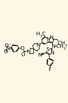 CCc1nn2c(C)cc(N3CCC4(CCN(C(=O)Oc5ccc([N+](=O)[O-])cc5)C4)CC3)cc2c1N(C)c1nc(-c2ccc(F)cc2)c(C#N)s1